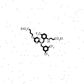 CCOC(=O)CCCOc1cnc(N(Cc2cc(C(F)(F)F)cc(C(F)(F)F)c2)Cc2cc(C(F)(F)F)ccc2NCCC(=O)OCC)nc1